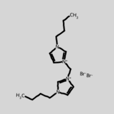 CCCCn1cc[n+](C[n+]2ccn(CCCC)c2)c1.[Br-].[Br-]